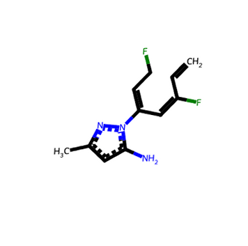 C=C/C(F)=C\C(=C/CF)n1nc(C)cc1N